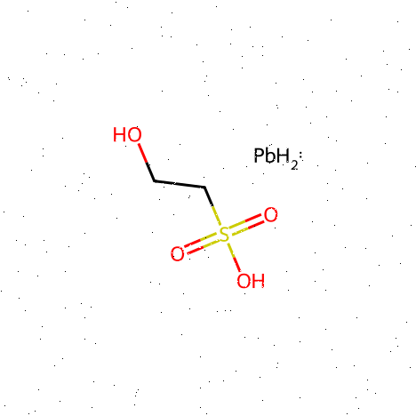 O=S(=O)(O)CCO.[PbH2]